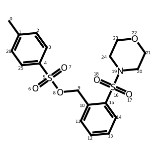 Cc1ccc(S(=O)(=O)OCc2ccccc2S(=O)(=O)N2CCOCC2)cc1